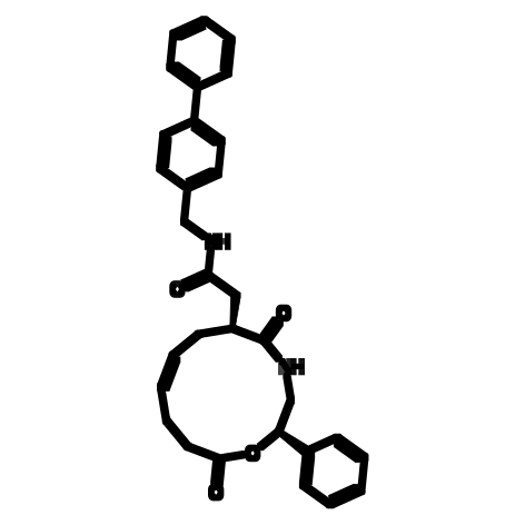 O=C(C[C@@H]1CC=CCCC(=O)O[C@H](c2ccccc2)CNC1=O)NCc1ccc(-c2ccccc2)cc1